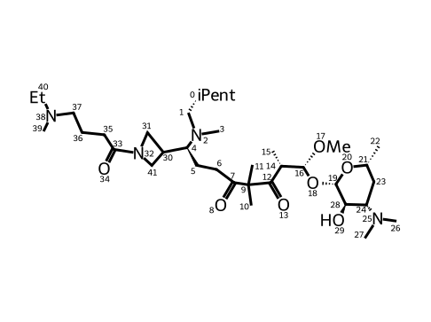 CCC[C@@H](C)CN(C)[C@@H](CCC(=O)C(C)(C)C(=O)[C@H](C)[C@H](OC)O[C@@H]1O[C@H](C)C[C@H](N(C)C)[C@H]1O)C1CN(C(=O)CCCN(C)CC)C1